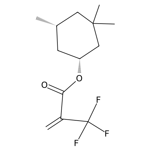 C=C(C(=O)O[C@@H]1C[C@H](C)CC(C)(C)C1)C(F)(F)F